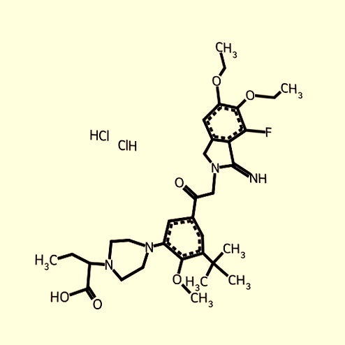 CCOc1cc2c(c(F)c1OCC)C(=N)N(CC(=O)c1cc(N3CCN(C(CC)C(=O)O)CC3)c(OC)c(C(C)(C)C)c1)C2.Cl.Cl